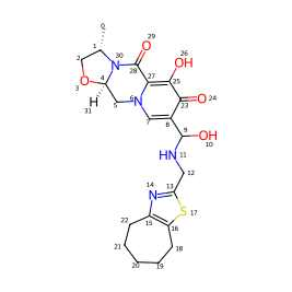 C[C@H]1CO[C@@H]2Cn3cc(C(O)NCc4nc5c(s4)CCCCC5)c(=O)c(O)c3C(=O)N12